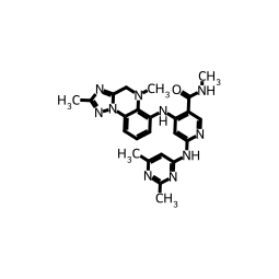 CNC(=O)c1cnc(Nc2cc(C)nc(C)n2)cc1Nc1cccc2c1N(C)Cc1nc(C)nn1-2